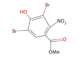 COC(=O)c1cc(Br)c(O)c(Br)c1[N+](=O)[O-]